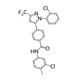 Cc1ccc(NC(=O)c2ccc(-c3cc(C(F)(F)F)nn3-c3ccccc3Cl)cc2)cc1Cl